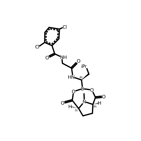 CC(C)C[C@H](NC(=O)CNC(=O)c1cc(Cl)ccc1Cl)B1OC(=O)[C@H]2CC[C@@H](C(=O)O1)N2C